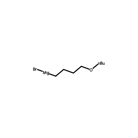 CCCCOCCC[CH2][Mg][Br]